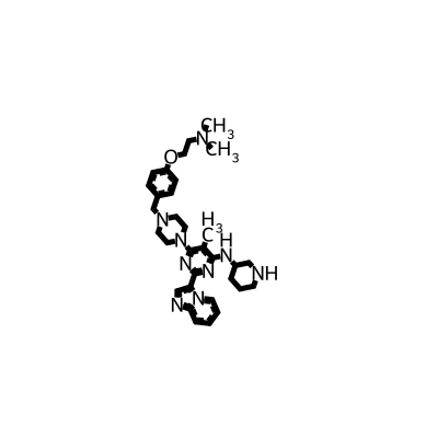 Cc1c(NC2CCCNC2)nc(-c2cnc3ccccn23)nc1N1CCN(Cc2ccc(OCCN(C)C)cc2)CC1